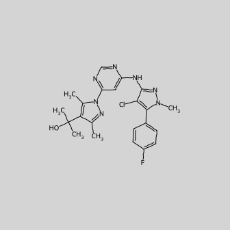 Cc1nn(-c2cc(Nc3nn(C)c(-c4ccc(F)cc4)c3Cl)ncn2)c(C)c1C(C)(C)O